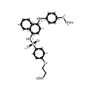 CCCCCCCCCCCCOc1ccc(S(=O)(=O)Nc2ccc(Nc3ccc(OCCCCCC)cc3)c3ccccc23)cc1